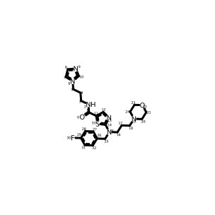 O=C(NCCCn1ccnc1)c1cnc(N(CCCN2CCOCC2)Cc2ccc(F)cc2)s1